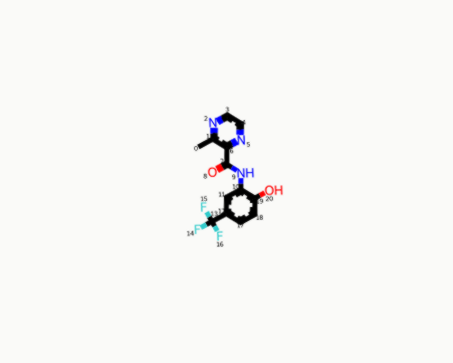 Cc1nccnc1C(=O)Nc1cc(C(F)(F)F)ccc1O